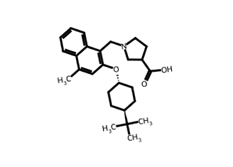 Cc1cc(O[C@H]2CC[C@H](C(C)(C)C)CC2)c(CN2CCC(C(=O)O)C2)c2ccccc12